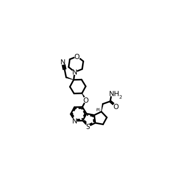 N#CC[C@]1(N2CCOCC2)CC[C@H](Oc2ccnc3sc4c(c23)[C@@H](CC(N)=O)CC4)CC1